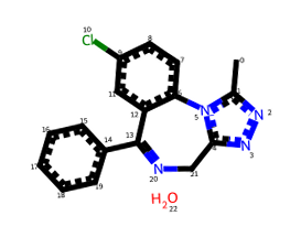 Cc1nnc2n1-c1ccc(Cl)cc1C(c1ccccc1)=NC2.O